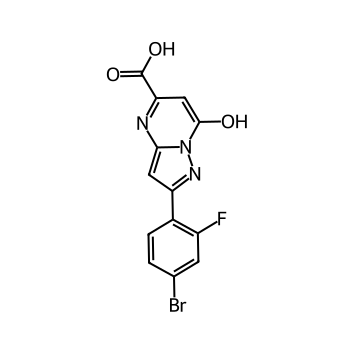 O=C(O)c1cc(O)n2nc(-c3ccc(Br)cc3F)cc2n1